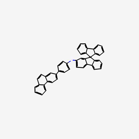 c1ccc2c(c1)-c1ccccc1C21c2ccccc2-c2ccc(Nc3ccc(-c4ccc5c(ccc6ccccc65)c4)cc3)cc21